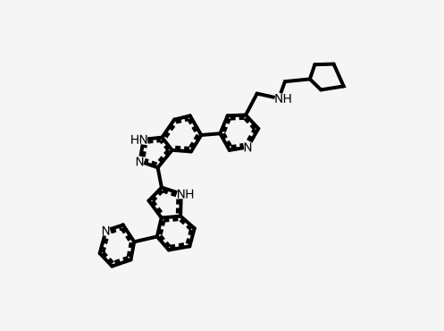 c1cncc(-c2cccc3[nH]c(-c4n[nH]c5ccc(-c6cncc(CNCC7CCCC7)c6)cc45)cc23)c1